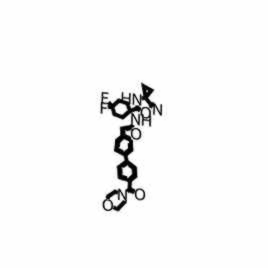 N#CC1(NC(=O)C2(Nc3cc4ccc(-c5ccc(C(=O)N6CCOCC6)cc5)cc4o3)CCC(F)(F)CC2)CC1